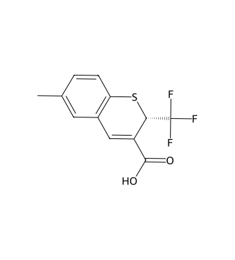 Cc1ccc2c(c1)C=C(C(=O)O)[C@@H](C(F)(F)F)S2